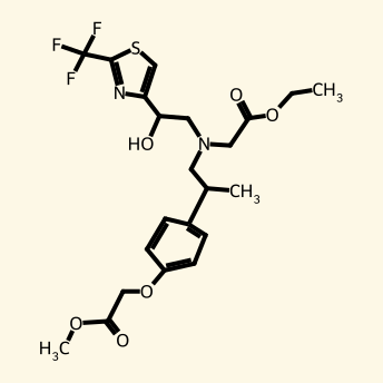 CCOC(=O)CN(CC(C)c1ccc(OCC(=O)OC)cc1)CC(O)c1csc(C(F)(F)F)n1